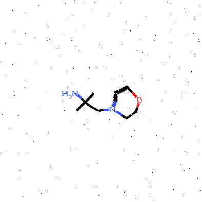 CC(C)(N)CN1CCOCC1